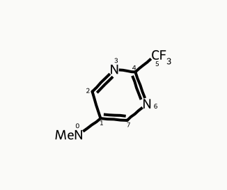 CNc1cnc(C(F)(F)F)nc1